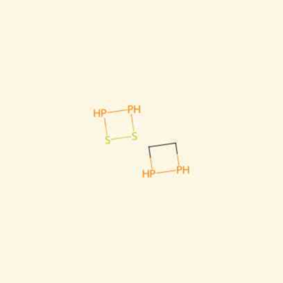 C1CPP1.P1PSS1